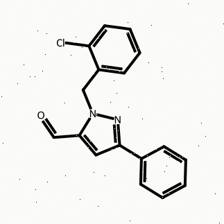 O=Cc1cc(-c2ccccc2)nn1Cc1ccccc1Cl